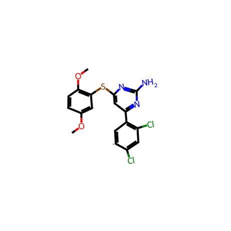 COc1ccc(OC)c(Sc2cc(-c3c[c]c(Cl)cc3Cl)nc(N)n2)c1